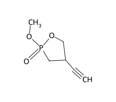 C#CC1COP(=O)(OC)C1